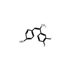 CCCc1ccc(C=C(C)c2ccc(F)c(F)c2)cc1